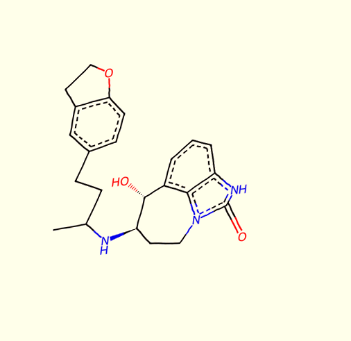 CC(CCc1ccc2c(c1)CCO2)N[C@@H]1CCn2c(=O)[nH]c3cccc(c32)[C@H]1O